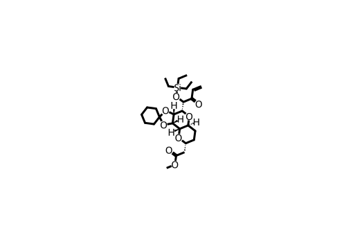 C=CC(=O)C(O[Si](CC)(CC)CC)[C@@H]1O[C@H]2CC[C@H](CC(=O)OC)O[C@@H]2[C@@H]2OC3(CCCCC3)O[C@@H]21